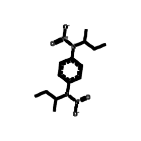 CCC(C)N(c1ccc(N(C(C)CC)[N+](=O)[O-])cc1)[N+](=O)[O-]